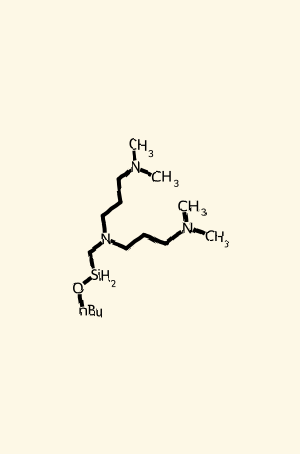 CCCCO[SiH2]CN(CCCN(C)C)CCCN(C)C